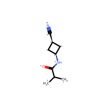 CC(C)C(=O)N[C@H]1C[C@@H](C#N)C1